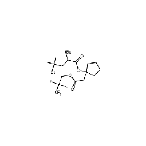 CCC(C)(C)CC(C(=O)OC1(CC(=O)OCC(F)(F)C(F)(F)F)CCCC1)C(C)(C)C